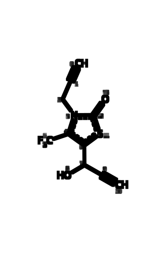 C#CCn1c(C(F)(F)F)c(C(O)C#C)sc1=O